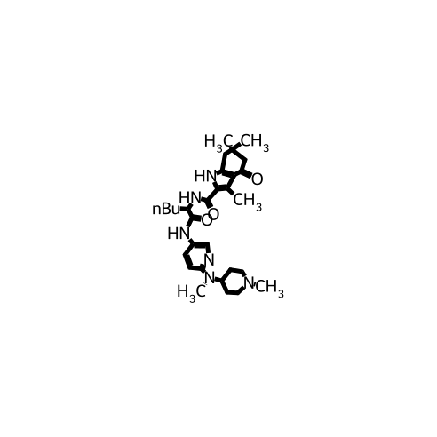 CCCCC(NC(=O)c1[nH]c2c(c1C)C(=O)CC(C)(C)C2)C(=O)Nc1ccc(N(C)C2CCN(C)CC2)nc1